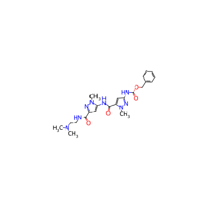 CN(C)CCNC(=O)c1cc(NC(=O)c2cc(NC(=O)OCc3ccccc3)nn2C)n(C)n1